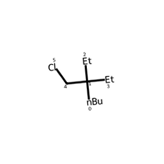 CCCCC(CC)(CC)CCl